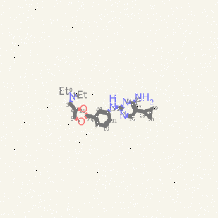 CCN(CC)CC1COC(c2cccc(Nc3ncc(C4CC4)c(N)n3)c2)O1